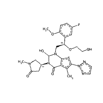 COc1ccc(F)cc1[C@H](CN1c2sc(-n3nccn3)c(C)c2C(=O)N([C@H]2CC(=O)N(C)C2)C1O)OCCO